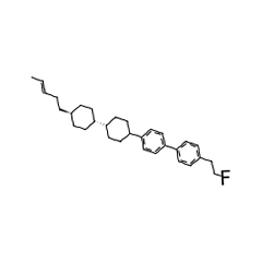 C/C=C/CC[C@H]1CC[C@H](C2CCC(c3ccc(-c4ccc(CCF)cc4)cc3)CC2)CC1